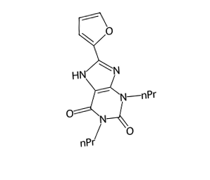 CCCn1c(=O)c2[nH]c(-c3ccco3)nc2n(CCC)c1=O